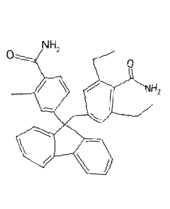 CCc1cc(C2(c3ccc(C(N)=O)c(C)c3)c3ccccc3-c3ccccc32)cc(CC)c1C(N)=O